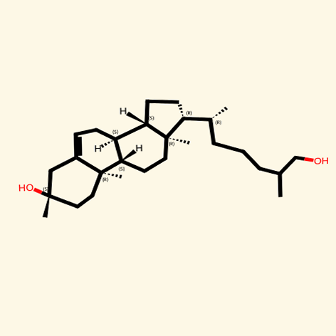 CC(CO)CCC[C@@H](C)[C@H]1CC[C@H]2[C@@H]3CC=C4C[C@@](C)(O)CC[C@]4(C)[C@H]3CC[C@]12C